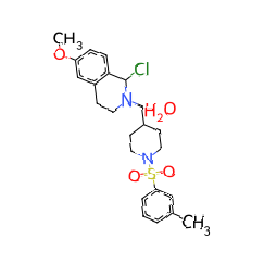 COc1ccc2c(c1)CCN(CC1CCN(S(=O)(=O)c3cccc(C)c3)CC1)C2Cl.O